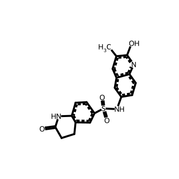 Cc1cc2cc(NS(=O)(=O)c3ccc4c(c3)CCC(=O)N4)ccc2nc1O